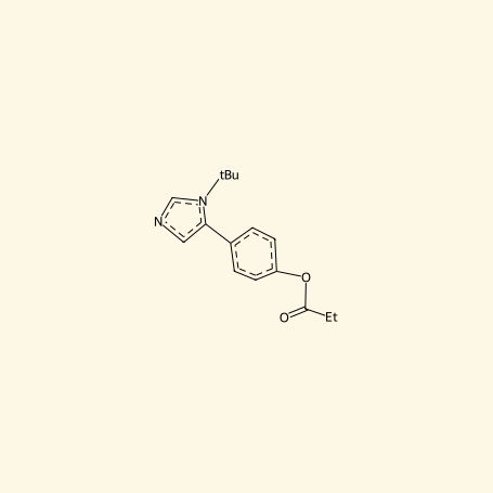 CCC(=O)Oc1ccc(-c2cncn2C(C)(C)C)cc1